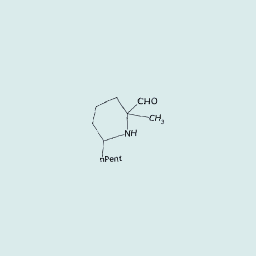 CCCCCC1CCCC(C)(C=O)N1